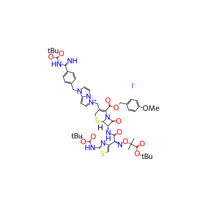 COc1ccc(COC(=O)C2=C(C[n+]3ccc4n(Cc5ccc(C(=N)NC(=O)OC(C)(C)C)cc5)ccn43)CS[C@@H]3[C@H](NC(=O)/C(=N\OC(C)(C)C(=O)OC(C)(C)C)c4csc(NC(=O)OC(C)(C)C)n4)C(=O)N23)cc1.[I-]